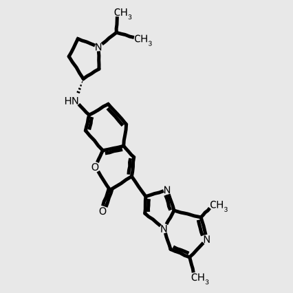 Cc1cn2cc(-c3cc4ccc(N[C@@H]5CCN(C(C)C)C5)cc4oc3=O)nc2c(C)n1